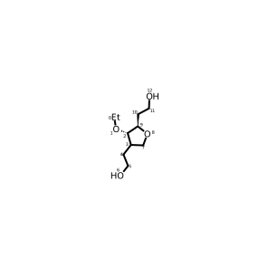 CCO[C@H]1C(CCO)CO[C@@H]1CCO